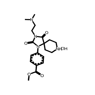 COC(=O)c1ccc(N2C(=O)N(CCN(C)C)C(=O)C23CCNCC3)cc1.Cl